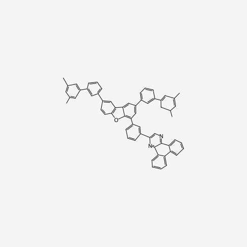 CC1=CC(C)CC(c2cccc(-c3cc(-c4cccc(-c5cnc6c7ccccc7c7ccccc7c6n5)c4)c4oc5ccc(-c6cccc(-c7cc(C)cc(C)c7)c6)cc5c4c3)c2)=C1